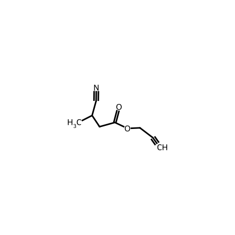 C#CCOC(=O)CC(C)C#N